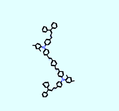 Cc1ccc(N(c2ccc(/C=C/C=C(c3ccccc3)c3ccccc3)cc2)c2ccc(/C=C/c3ccc(/C=C/c4ccc(N(c5ccc(/C=C/C=C(c6ccccc6)c6ccccc6)cc5)c5ccc(C)cc5C)cc4)cc3)cc2)c(C)c1